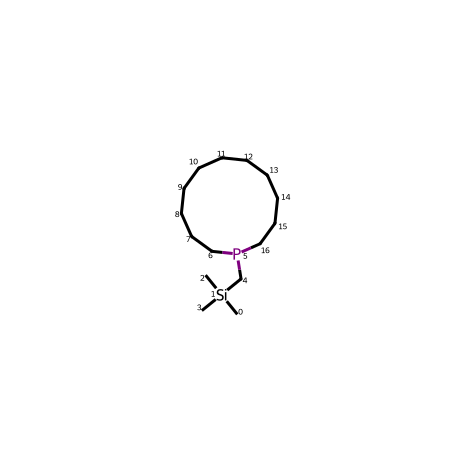 C[Si](C)(C)CP1CCCCCCCCCCC1